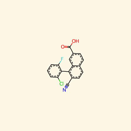 N#Cc1ccc2ccc(C(=O)O)cc2c1-c1c(F)cccc1Cl